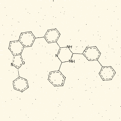 c1ccc(-c2cccc(C3NC(c4cccc(-c5ccc6ccc7nc(-c8ccccc8)oc7c6c5)c4)=NC(c4ccccc4)N3)c2)cc1